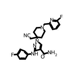 N#CCC1(n2cc(C(N)=O)c(Nc3ccc(F)cc3)n2)CCN(Cc2cccc(F)n2)CC1